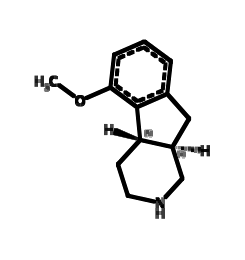 COc1cccc2c1[C@H]1CCNC[C@@H]1C2